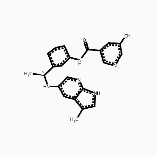 Cc1cncc(C(=O)Nc2cccc([C@H](C)Nc3cnc4[nH]cc(C)c4c3)c2)c1